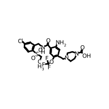 CCS(=O)(=O)c1ccc(Cl)cc1CNC(=O)c1cc(OC(F)(F)F)c(CN2CCN(C(=O)O)CC2)cc1N